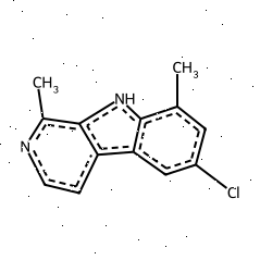 Cc1cc(Cl)cc2c1[nH]c1c(C)nccc12